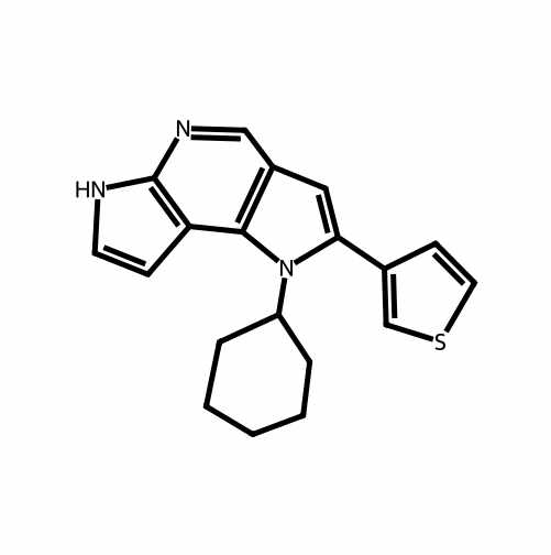 c1cc2c(ncc3cc(-c4ccsc4)n(C4CCCCC4)c32)[nH]1